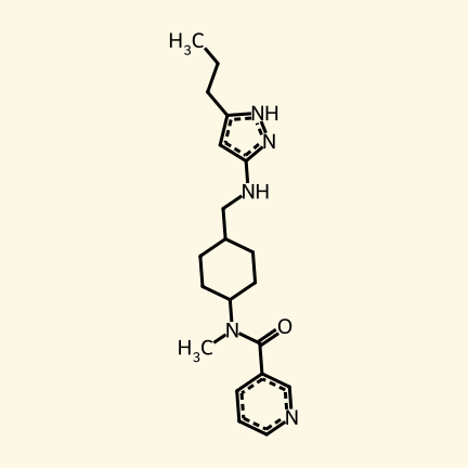 CCCc1cc(NCC2CCC(N(C)C(=O)c3cccnc3)CC2)n[nH]1